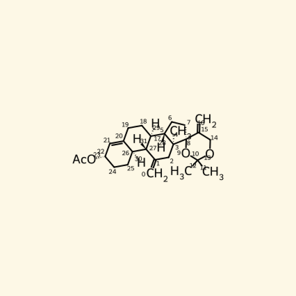 C=C1C[C@@]2(C)[C@@H](CC[C@]23OC(C)(C)OCC3=C)[C@@H]2CCC3=C[C@@H](OC(C)=O)CC[C@@H]3[C@@H]12